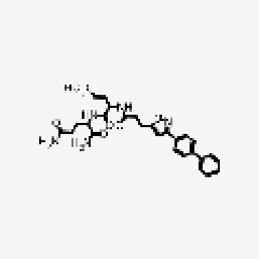 NC(=O)CCC(NC(=O)C(CCC(=O)O)NC(=O)CCc1cc(-c2ccc(-c3ccccc3)cc2)no1)C(N)=O